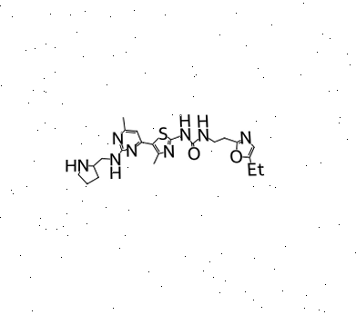 CCc1cnc(CCNC(=O)Nc2nc(C)c(-c3cc(C)nc(NCC4CCCN4)n3)s2)o1